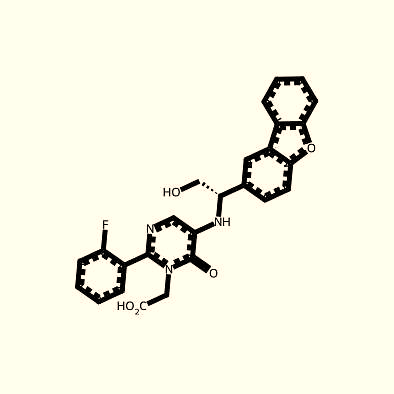 O=C(O)Cn1c(-c2ccccc2F)ncc(N[C@H](CO)c2ccc3oc4ccccc4c3c2)c1=O